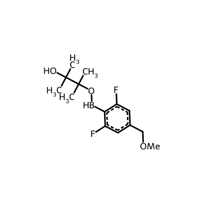 COCc1cc(F)c(BOC(C)(C)C(C)(C)O)c(F)c1